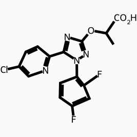 CC(Oc1nc(-c2ccc(Cl)cn2)n(-c2ccc(F)cc2F)n1)C(=O)O